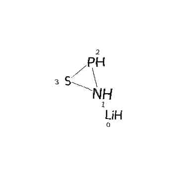 [LiH].[nH]1[pH]s1